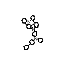 c1ccc(-c2ccc(N(c3ccccc3)c3ccc(-n4c5cccc6c7ccccc7n7c8ccccc8c8ccc4c(c65)c87)cc3)cc2)cc1